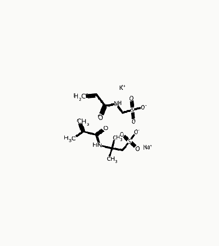 C=C(C)C(=O)NC(C)(C)CS(=O)(=O)[O-].C=CC(=O)NCS(=O)(=O)[O-].[K+].[Na+]